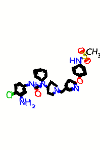 CS(=O)(=O)Nc1ccc(Oc2ccc(CN3CCC(N(C(=O)Nc4ccc(Cl)c(N)c4)c4ccccc4)CC3)cn2)cc1